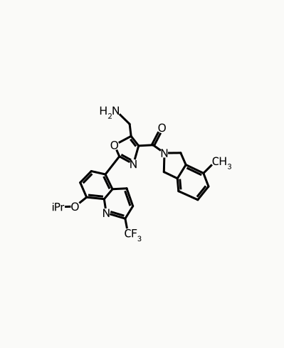 Cc1cccc2c1CN(C(=O)c1nc(-c3ccc(OC(C)C)c4nc(C(F)(F)F)ccc34)oc1CN)C2